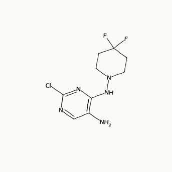 Nc1cnc(Cl)nc1NN1CCC(F)(F)CC1